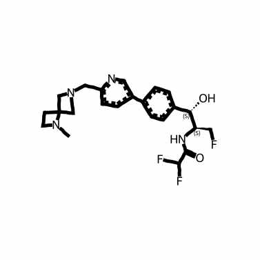 CN1CCC12CN(Cc1ccc(-c3ccc([C@H](O)[C@@H](CF)NC(=O)C(F)F)cc3)cn1)C2